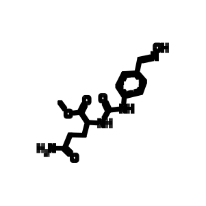 COC(=O)C(CCC(N)=O)NC(=O)Nc1ccc(C=NO)cc1